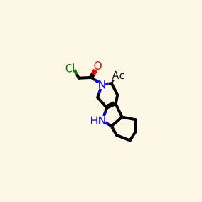 CC(=O)[C@H]1CC2=C(CN1C(=O)CCl)NC1CCCCC21